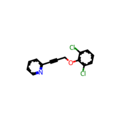 Clc1cccc(Cl)c1OCC#Cc1ccccn1